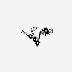 COCC1CN(c2ccc(C3CCCCC3NCCNC(=O)c3ccc(Cl)cc3)cc2)C(=O)O1.Cl